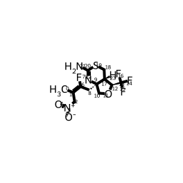 C/C(C[N+](=O)[O-])=C(\F)C[C@@]12CO[C@H](C(F)(F)F)[C@H]1CSC(N)=N2